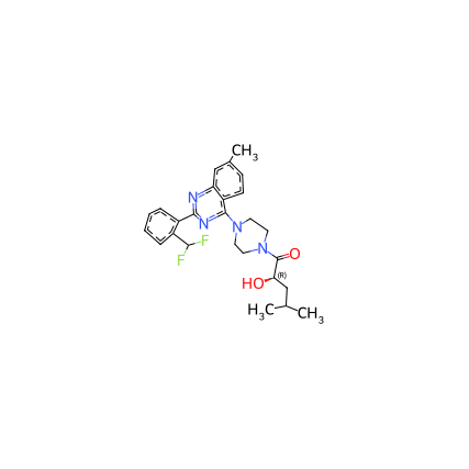 Cc1ccc2c(N3CCN(C(=O)[C@H](O)CC(C)C)CC3)nc(-c3ccccc3C(F)F)nc2c1